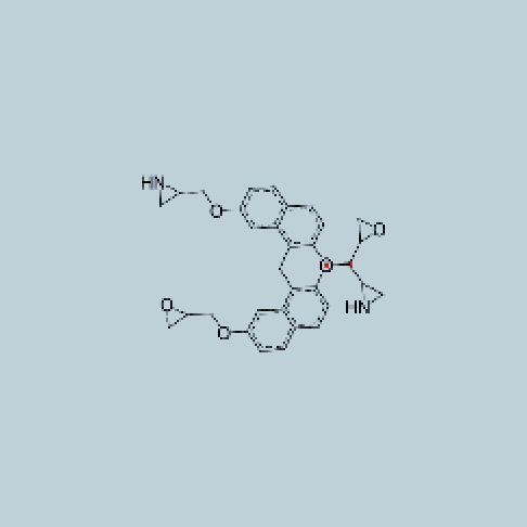 c1cc2ccc(OCC3CN3)c(Cc3c(OCC4CO4)ccc4ccc(OCC5CO5)cc34)c2cc1OCC1CN1